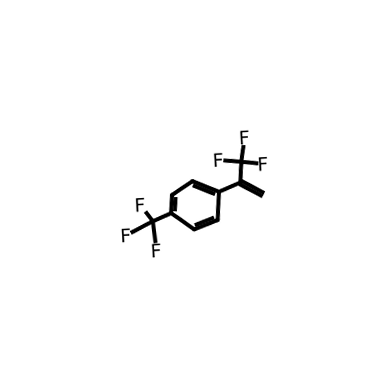 C=C(c1ccc(C(F)(F)F)cc1)C(F)(F)F